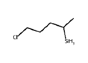 CC([SiH3])CCCCl